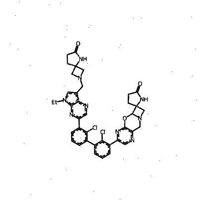 CCn1cc(CN2CC3(CCC(=O)N3)C2)c2ncc(-c3cccc(-c4cccc(-c5cnc6c(n5)OC5N(C6)CC56CCC(=O)N6)c4Cl)c3Cl)nc21